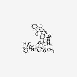 CC(=O)O[C@@H](C(=O)Nc1ccc2c(N3C(=O)c4ccccc4C3=O)nsc2c1C(N)=O)[C@H]1OCCN(c2cc(C)n(-c3cccnc3)n2)C1=O